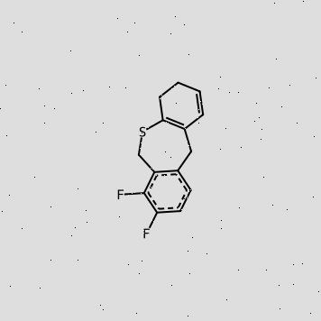 Fc1ccc2c(c1F)CSC1=C(C=CCC1)C2